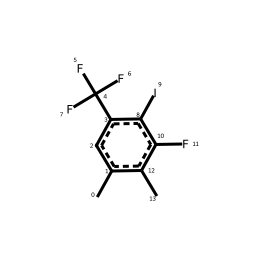 Cc1cc(C(F)(F)F)c(I)c(F)c1C